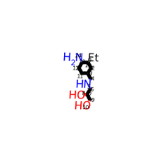 CCC1CC(CNCC(O)CO)CCC1N